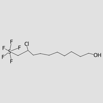 OCCCCCCCCC(Cl)CS(F)(F)(F)(F)F